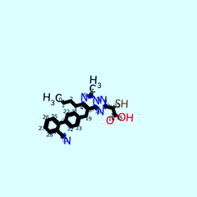 CCCCc1nc(C)n2nc(C(S)C(=O)O)nc2c1Cc1ccc(-c2ccccc2C#N)cc1